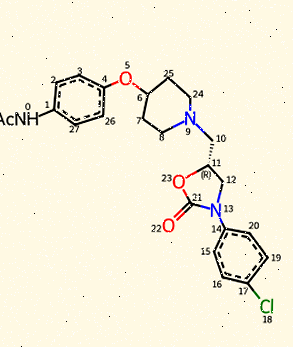 CC(=O)Nc1ccc(OC2CCN(C[C@@H]3CN(c4ccc(Cl)cc4)C(=O)O3)CC2)cc1